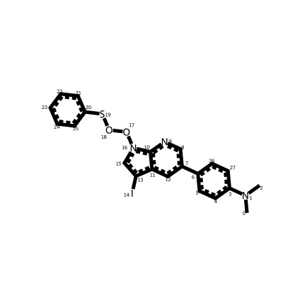 CN(C)c1ccc(-c2cnc3c(c2)c(I)cn3OOSc2ccccc2)cc1